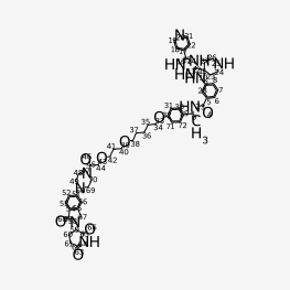 C[C@@H](NC(=O)c1cccc(NC2(C(=N)NC(=N)c3ccncc3)CCNCC2)c1)c1ccc(OCCCCCOCCCOCC(=O)N2CCN(c3ccc4c(c3)CN(C3CCC(=O)NC3=O)C4=O)CC2)cc1